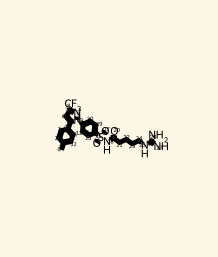 Cc1ccc(-c2cc(C(F)(F)F)nn2-c2ccc(S(=O)(=O)NC(=O)CCCCNC(=N)N)cc2)cc1